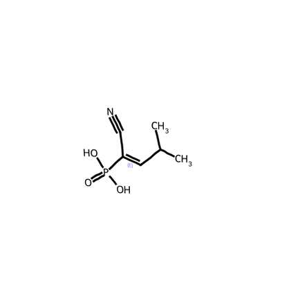 CC(C)/C=C(\C#N)P(=O)(O)O